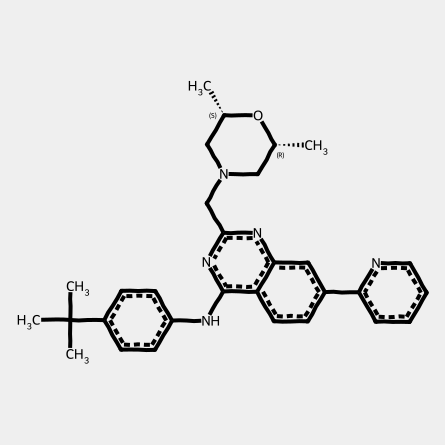 C[C@@H]1CN(Cc2nc(Nc3ccc(C(C)(C)C)cc3)c3ccc(-c4ccccn4)cc3n2)C[C@H](C)O1